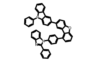 c1ccc(-c2nc3ccccc3n2-c2ccc(-c3cccc4oc5ccc(-c6ccc7c(c6)c6ccccc6n7-c6ccccc6)cc5c34)cc2)cc1